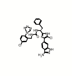 Nc1n[nH]c2cc(-c3nc([C@H](Cc4ccccc4)NC(=O)NCc4cc(Cl)ccc4-n4cnnn4)[nH]c3Cl)ccc12